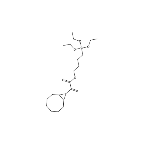 C=C(C(=O)OCCCC[Si](OCC)(OCC)OCC)C1C2CCCCCCC21